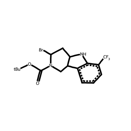 CC(C)(C)OC(=O)N1CC2c3cccc(C(F)(F)F)c3NC2CC1Br